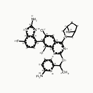 CC(Oc1nc(N2CC3CCC(C2)N3)c2cc(Cl)c(-c3ccc(F)c4sc(N)nc34)c(F)c2n1)c1cccc(N)n1